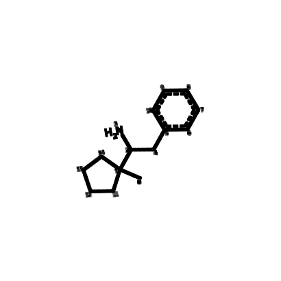 CC1(C(N)Cc2ccccc2)CCCC1